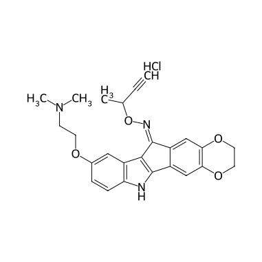 C#CC(C)ON=C1c2cc3c(cc2-c2[nH]c4ccc(OCCN(C)C)cc4c21)OCCO3.Cl